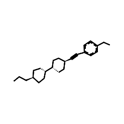 CCC[C@H]1CC[C@H]([C@H]2CC[C@H](C#Cc3ccc(CC)cc3)CC2)CC1